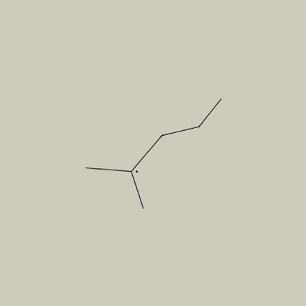 CCC[C](C)C